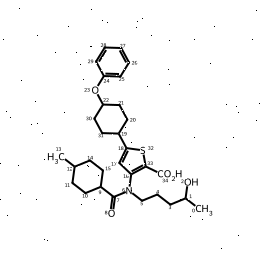 CC(O)CCCN(C(=O)C1CCC(C)CC1)c1cc(C2CCC(Oc3ccccc3)CC2)sc1C(=O)O